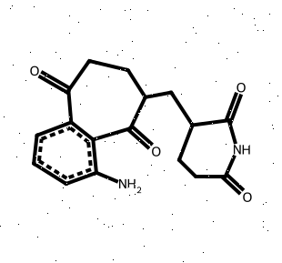 Nc1cccc2c1C(=O)C(CC1CCC(=O)NC1=O)CCC2=O